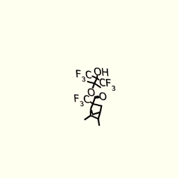 CC1C2CC(C1C)C(C(=O)OC(C)(C)C(O)(C(F)(F)F)C(F)(F)F)(C(F)(F)F)C2